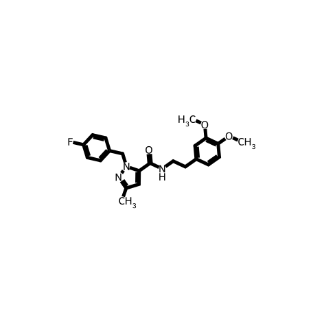 COc1ccc(CCNC(=O)c2cc(C)nn2Cc2ccc(F)cc2)cc1OC